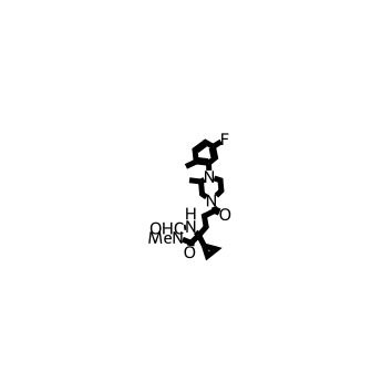 CNC(=O)C(CCC(=O)N1CCN(c2cc(F)ccc2C)C(C)C1)(NC=O)C1CC1